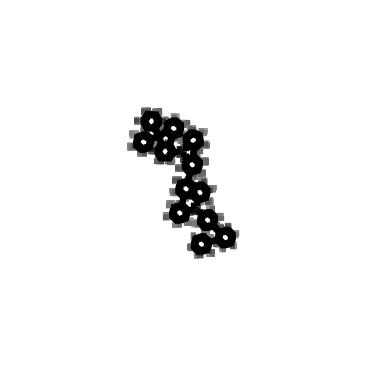 c1ccc(-c2ccccc2-c2ccc(N(c3ccccc3)c3ccccc3-c3ccc(-c4ccc5c6ccccc6n(-c6cccc7c6-c6ccccc6C7(c6ccccc6)c6ccccc6)c5c4)cc3)cc2)cc1